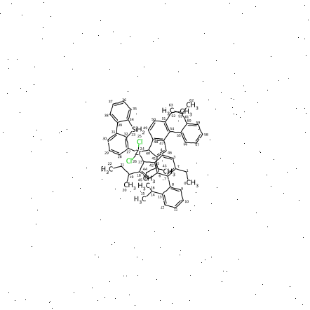 CCc1ccc2c(c1-c1ccccc1C(C)C)C=C(C(C)CC)[CH]2[Zr]([Cl])([Cl])([c]1cccc2c1[SiH2]c1ccccc1-2)[CH]1C(C(C)CC)=Cc2c1ccc(CC)c2-c1ccccc1C(C)C